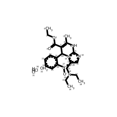 CCOC(=O)C1=C(C)Nc2ncc(CN(CC)CC)n2C1c1ccccc1[N+](=O)[O-].Cl.Cl.O